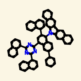 c1ccc(-c2ccc3c(-n4c5cc6ccccc6cc5c5cc6ccccc6cc54)c(-c4cccc5ccccc45)cc(-c4nc(-c5cccc6ccccc56)nc(-c5cccc6ccccc56)n4)c3c2)cc1